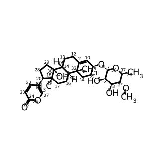 CO[C@@H]1[C@@H](O)[C@@H](O)[C@H](O[C@@H]2C=C3CC[C@@H]4[C@H](CC[C@]5(C)[C@@H](c6ccc(=O)oc6)CC[C@]45O)[C@@]3(C)CC2)O[C@H]1C